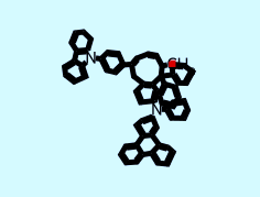 CC1/C=C\C=C(\c2ccc(-n3c4c(c5ccccc53)C=CCC4)cc2)Cc2ccc(N(c3ccccc3)c3ccc4c5ccccc5c5ccccc5c4c3)cc2C1(c1ccccc1)c1ccccc1